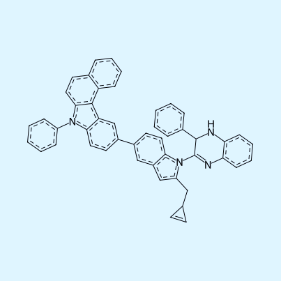 C1=CC1Cc1cc2cc(-c3ccc4c(c3)c3c5ccccc5ccc3n4-c3ccccc3)ccc2n1C1=Nc2ccccc2NC1c1ccccc1